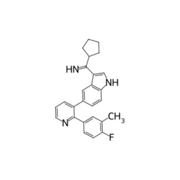 Cc1cc(-c2ncccc2-c2ccc3[nH]cc(C(=N)C4CCCC4)c3c2)ccc1F